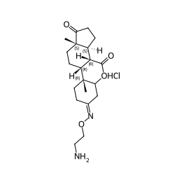 C[C@]12CCC(=NOCCN)CC1OC(=O)[C@@H]1[C@H]2CC[C@]2(C)C(=O)CC[C@@H]12.Cl